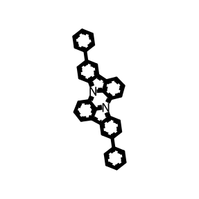 c1ccc(-c2ccc3c(c2)c2cccc4c2n3c2cccc3c5cc(-c6ccccc6)ccc5n4c32)cc1